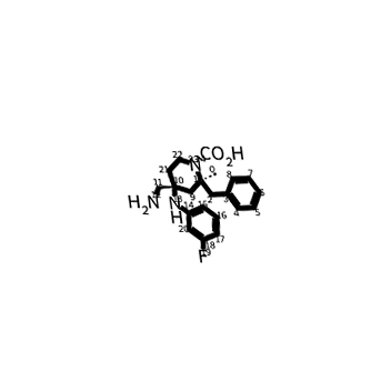 C[C@]1(Cc2ccccc2)C[C@](CN)(Nc2cccc(F)c2)CCN1C(=O)O